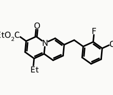 CCOC(=O)c1cc(CC)c2ccc(Cc3cccc(Cl)c3F)cn2c1=O